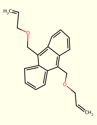 C=CCOCc1c2ccccc2c(COCC=C)c2ccccc12